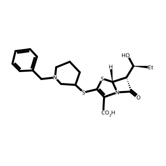 CC[C@H](O)[C@@H]1C(=O)N2C(C(=O)O)=C(SC3CCCN(Cc4ccccc4)C3)S[C@H]12